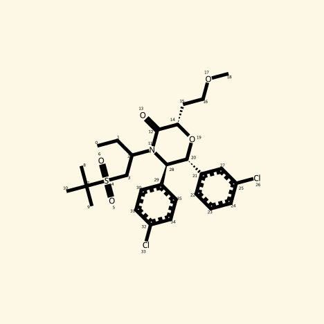 CCC(CS(=O)(=O)C(C)(C)C)N1C(=O)[C@H](CCOC)O[C@H](c2cccc(Cl)c2)[C@H]1c1ccc(Cl)cc1